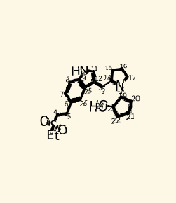 CCS(=O)(=O)CCc1ccc2[nH]cc(C[C@H]3CCCN3[C@@H]3CCC[C@H]3O)c2c1